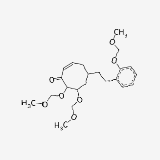 COCOc1ccccc1CCC1CC=CC(=O)C(OCOC)C(OCOC)C1